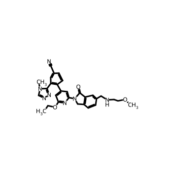 CCOc1cc(-c2ccc(C#N)cc2-c2nncn2C)cc(N2Cc3ccc(CNCCOC)cc3C2=O)n1